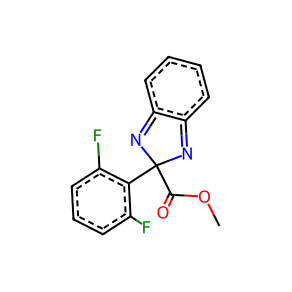 COC(=O)C1(c2c(F)cccc2F)N=c2ccccc2=N1